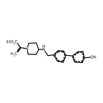 C=C(C(=O)OCC)N1CCC(NCc2ccc(-c3ccc(O)cc3)cc2)CC1